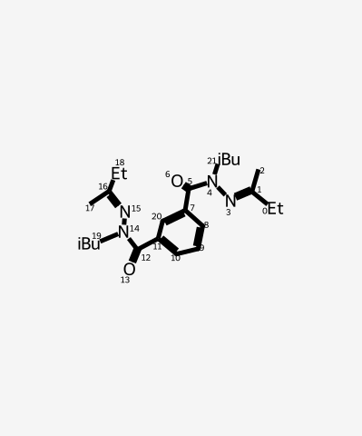 CCC(C)=NN(C(=O)c1cccc(C(=O)N(N=C(C)CC)C(C)CC)c1)C(C)CC